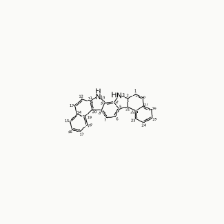 C1=CC2Nc3c(ccc4c3[nH]c3ccc5ccccc5c34)C2c2ccccc21